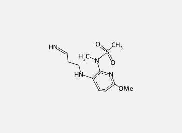 COc1ccc(NCCC=N)c(N(C)S(C)(=O)=O)n1